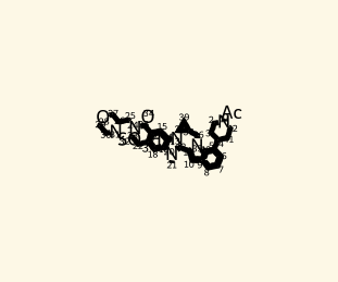 CC(=O)N1CCC(c2cccc3cc(-c4nc5cc6c(cc5n4C)CCN(CC4COCCN4S(=O)(=O)O)C6=O)n(CC4CC4)c23)CC1